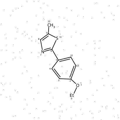 CCOc1ccc(-c2ncc(C)s2)cc1